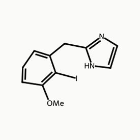 COc1cccc(Cc2ncc[nH]2)c1I